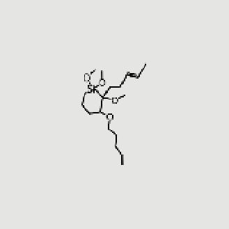 CC=CCCC1(OC)C(OCCCCC)CCC[Si]1(OC)OC